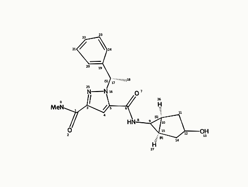 CNC(=O)c1cc(C(=O)NC2[C@H]3CC(O)C[C@@H]23)n([C@@H](C)c2ccccc2)n1